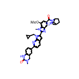 COc1cc(C(=O)N2CC3CCC2C3N)cc2nc(-c3cc4ccc(-c5ccc6c(c5)CN(C)C(=O)N6)nc4n3CC3CC3)n(C)c12